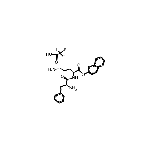 NCCC[C@H](NC(=O)[C@@H](N)Cc1ccccc1)C(=O)Oc1ccc2ccccc2c1.O=C(O)C(F)(F)F